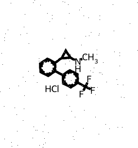 CNC1CC1c1ccccc1-c1ccc(C(F)(F)F)cc1.Cl